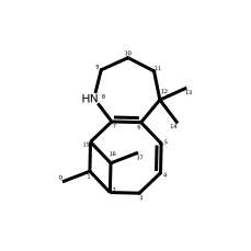 CC1C2C/C=C\C3=C(NCCCC3(C)C)C1C2C